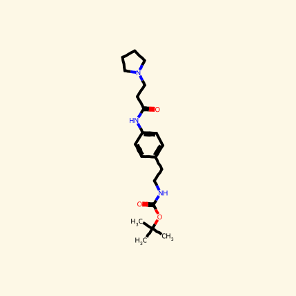 CC(C)(C)OC(=O)NCCc1ccc(NC(=O)CCN2CCCC2)cc1